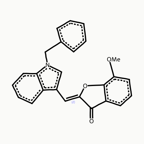 COc1cccc2c1O/C(=C\c1cn(Cc3ccccc3)c3ccccc13)C2=O